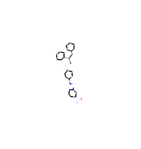 O=C(Nc1ccc(-c2nc3ccc([N+](=O)[O-])cc3n2O)cc1)/C(=C/c1ccccc1)c1ccccc1